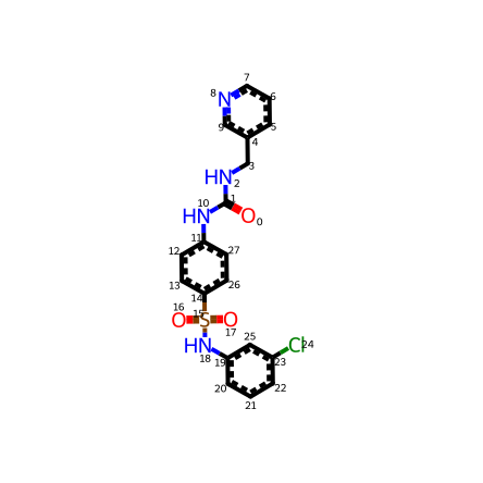 O=C(NCc1cccnc1)Nc1ccc(S(=O)(=O)Nc2cccc(Cl)c2)cc1